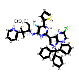 CCOC(=O)CC(Nc1nc(-c2cn(C(c3ccccc3)(c3ccccc3)c3ccccc3)c3ncc(Cl)nc23)nc(-c2cccs2)c1F)C(C)(C)c1ccccn1